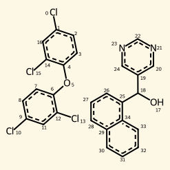 Clc1ccc(Oc2ccc(Cl)cc2Cl)c(Cl)c1.OC(c1cncnc1)c1cccc2ccccc12